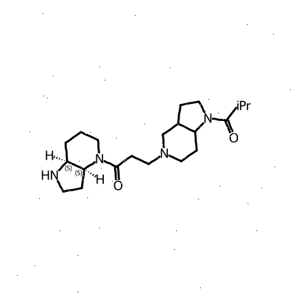 CC(C)C(=O)N1CCC2CN(CCC(=O)N3CCC[C@@H]4NCC[C@@H]43)CCC21